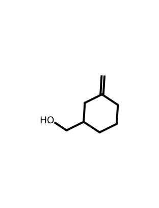 C=C1CCCC(CO)C1